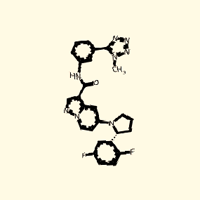 Cn1nnnc1-c1cccc(NC(=O)c2cnn3ccc(N4CCC[C@@H]4c4cc(F)ccc4F)cc23)c1